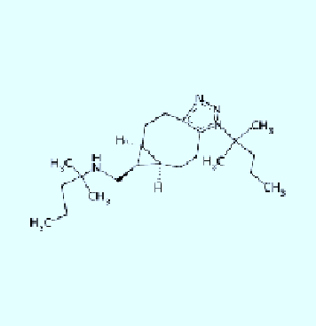 CCCC(C)(C)NC[C@@H]1[C@@H]2CCc3c(nnn3C(C)(C)CCC)CC[C@@H]21